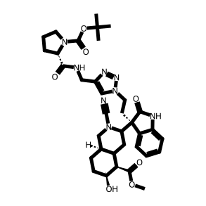 COC(=O)[C@@H]1C2CC([C@@]3(CCn4cc(CNC(=O)[C@@H]5CCCN5C(=O)OC(C)(C)C)nn4)C(=O)Nc4ccccc43)N(C#N)C[C@@H]2CC[C@@H]1O